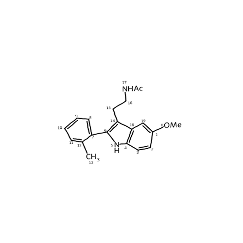 COc1ccc2[nH]c(-c3ccccc3C)c(CCNC(C)=O)c2c1